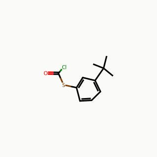 CC(C)(C)c1cccc(SC(=O)Cl)c1